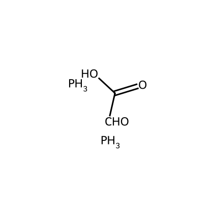 O=CC(=O)O.P.P